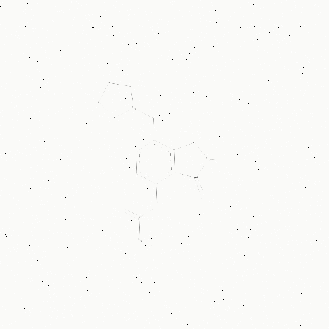 CN1Cc2c(CN3CCCC3)ccc(OC(N)=O)c2C1=O